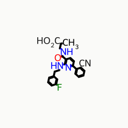 C[C@H](CNC(=O)c1ccc(-c2ccccc2C#N)nc1NCCc1cccc(F)c1)C(=O)O